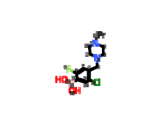 CC(C)N1CCN(Cc2cc(F)c(B(O)O)cc2Cl)CC1